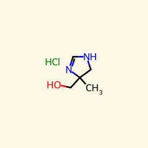 CC1(CO)CNC=N1.Cl